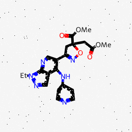 CCn1ncc2c(Nc3ccncc3)c(C3=NOC(CC(=O)OC)(C(=O)OC)C3)cnc21